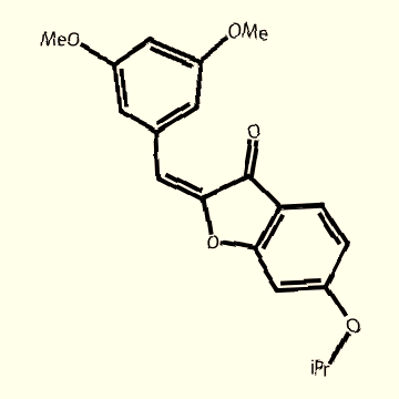 COc1cc(C=C2Oc3cc(OC(C)C)ccc3C2=O)cc(OC)c1